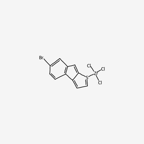 [Cl][Zr]([Cl])([Cl])[S]1=CC=C2C1=Cc1cc(Br)ccc12